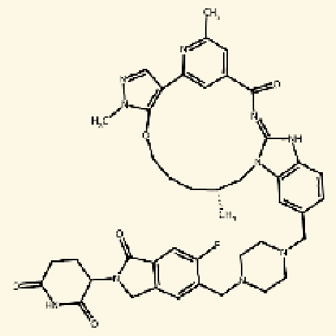 Cc1cc2cc(n1)-c1cnn(C)c1OCCC[C@@H](C)CN1/C(=N/C2=O)Nc2ccc(CN3CCN(Cc4cc5c(cc4F)C(=O)N(C4CCC(=O)NC4=O)C5)CC3)cc21